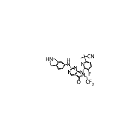 CC(C)(C#N)c1ccc(F)c(-n2c3nc(Nc4ccc5c(c4)CNCC5)ncc3c(=O)n2CC(F)(F)F)n1